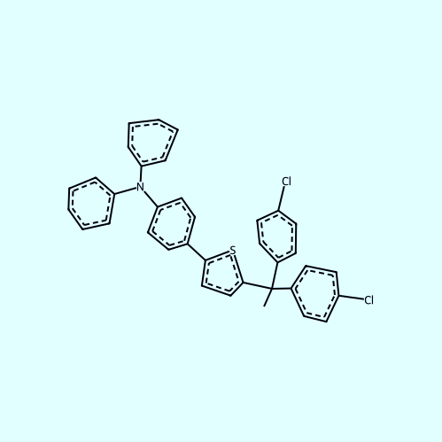 CC(c1ccc(Cl)cc1)(c1ccc(Cl)cc1)c1ccc(-c2ccc(N(c3ccccc3)c3ccccc3)cc2)s1